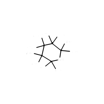 CCCCCCCCCCC1(CCCCCCCCCC)NC(CCCCCCCCCC)(CCCCCCCCCC)C(CCCCCCCCCC)(CCCCCCCCCC)C(CCCCCCCCCC)(CCCCCCCCCC)C1(CCCCCCCCCC)CCCCCCCCCC